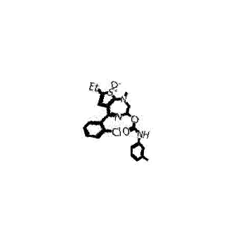 CCc1cc2c([s+]1[O-])N(C)CC(OC(=O)Nc1cccc(C)c1)N=C2c1ccccc1Cl